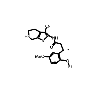 CCOc1ccc(OC)cc1[C@@H](C)CC(=O)Nc1sc2c(c1C#N)CCNC2